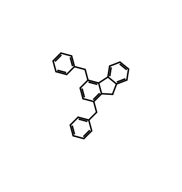 [CH]1c2ccccc2-c2c(Cc3ccccc3)ccc(Cc3ccccc3)c21